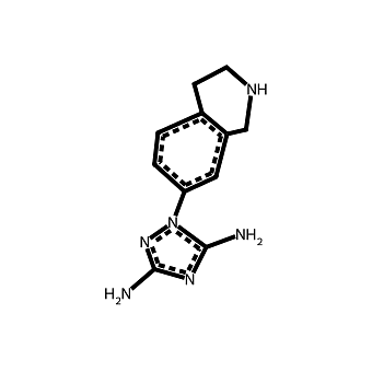 Nc1nc(N)n(-c2ccc3c(c2)CNCC3)n1